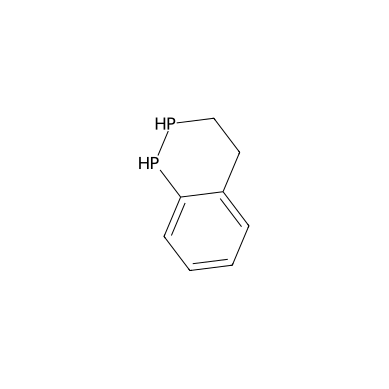 c1ccc2c(c1)CCPP2